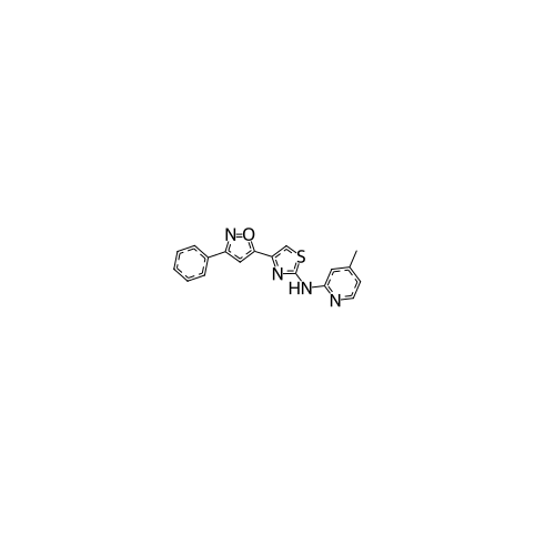 Cc1ccnc(Nc2nc(-c3cc(-c4ccccc4)no3)cs2)c1